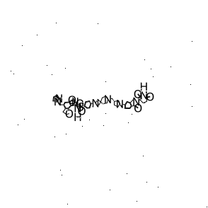 O=C1CC[C@H](N2Cc3cc(N4CC[C@@H](CN5CCC6(CC5)CN(c5ccc(S(=O)(=O)Nc7noc8cc(Cn9cccn9)c9c(c78)OCC9)cc5)C6)C4)ccc3C2=O)C(=O)N1